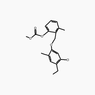 CCc1cc(C)c(OCc2c(C)cccc2OC(=O)OC)cc1Cl